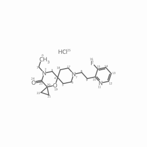 CCN1CC2(CCN(CCc3ncccc3F)CC2)OC2(CC2)C1=O.Cl